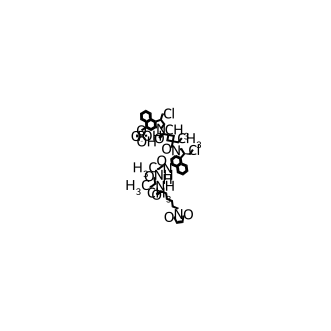 CCC1(C(=O)N2C[C@@H](CCl)c3c2cc(NC(=O)[C@H](C)NC(=O)[C@@H](NC(=O)CCCCCN2C(=O)C=CC2=O)C(C)C)c2ccccc32)CC(C)(C(=O)N2CC(CCl)c3c2cc(OP(=O)(O)O)c2ccccc32)C1